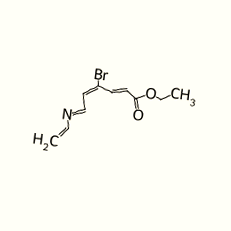 C=C/N=C/C=C(Br)\C=C\C(=O)OCC